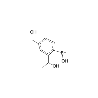 CC(O)c1cc(CO)ccc1BO